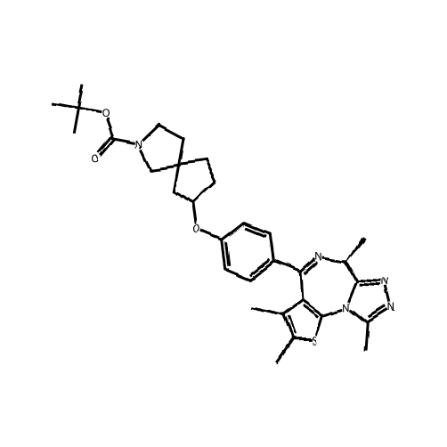 Cc1sc2c(c1C)C(c1ccc(OC3CCC4(CCN(C(=O)OC(C)(C)C)C4)C3)cc1)=N[C@@H](C)c1nnc(C)n1-2